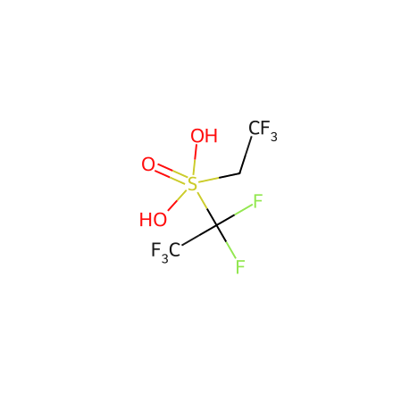 O=S(O)(O)(CC(F)(F)F)C(F)(F)C(F)(F)F